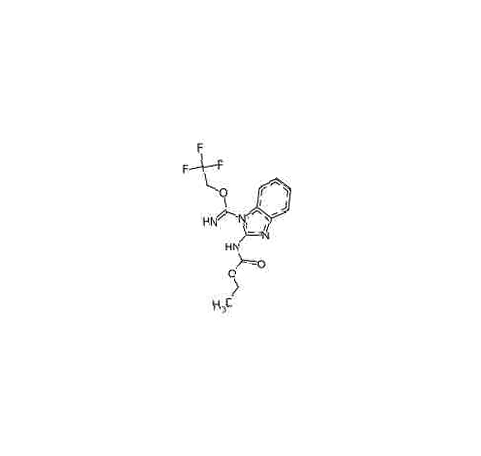 CCOC(=O)Nc1nc2ccccc2n1C(=N)OCC(F)(F)F